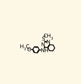 COc1ccc(Nc2nc(SC)nc3c2CCCC3)cc1